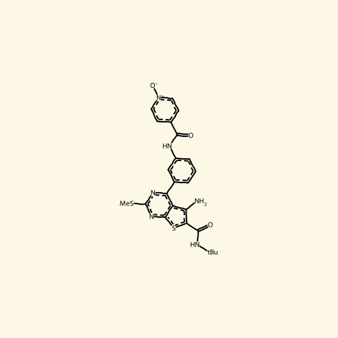 CSc1nc(-c2cccc(NC(=O)c3cc[n+]([O-])cc3)c2)c2c(N)c(C(=O)NC(C)(C)C)sc2n1